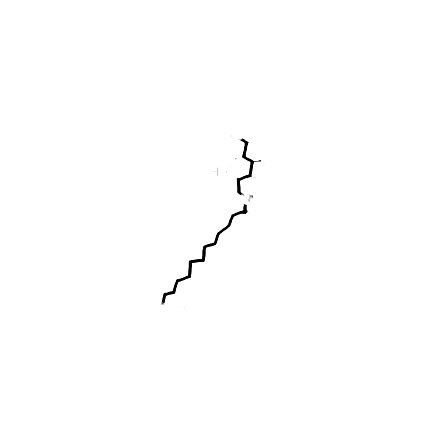 CCCCCCCCCCCCCCCCCCCCCC(=O)N(C)C[C@H](C)[C@@H](O)[C@H](C)[C@H](O)CO